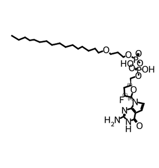 CCCCCCCCCCCCCCCCOCCCOP(=O)(O)OP(=O)(O)OC[C@@H]1C[C@H](F)[C@H](n2ccc3c(=O)[nH]c(N)nc32)O1